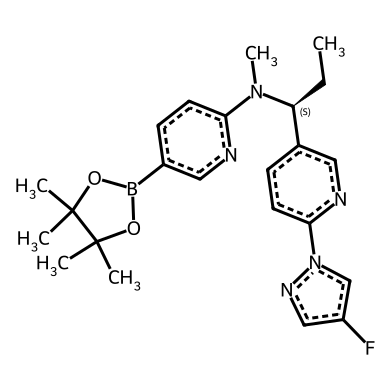 CC[C@@H](c1ccc(-n2cc(F)cn2)nc1)N(C)c1ccc(B2OC(C)(C)C(C)(C)O2)cn1